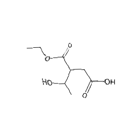 CCOC(=O)C(CC(=O)O)C(C)O